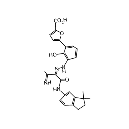 CC(=N)/C(=N/Nc1cccc(-c2ccc(C(=O)O)o2)c1O)C(=O)Nc1ccc2c(c1)C(C)(C)CC2